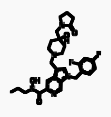 CCCN(O)C(=O)c1cc2c(CN3CCC(O)(CN4CCCC4=O)CC3)cn(Cc3ccc(F)cc3F)c2cn1